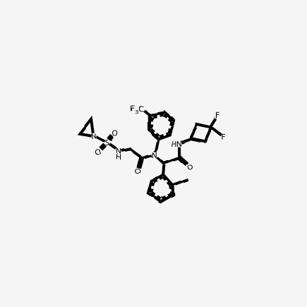 Cc1ccccc1C(C(=O)NC1CC(F)(F)C1)N(C(=O)CNS(=O)(=O)N1CC1)c1cccc(C(F)(F)F)c1